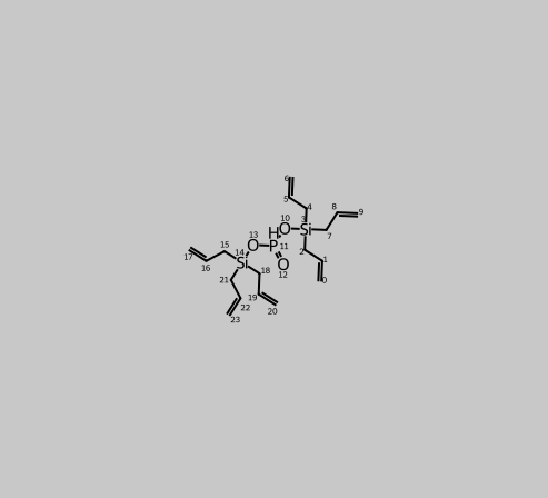 C=CC[Si](CC=C)(CC=C)O[PH](=O)O[Si](CC=C)(CC=C)CC=C